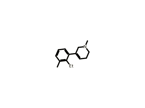 CCc1c(C)cccc1C1=CCCN(C)C1